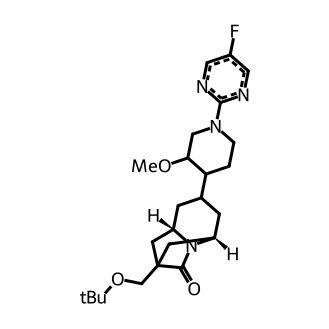 COC1CN(c2ncc(F)cn2)CCC1C1C[C@H]2CC3(COC(C)(C)C)C[C@H](C1)N2C3=O